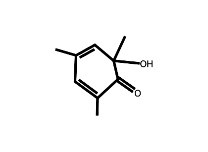 CC1=CC(C)(O)C(=O)C(C)=C1